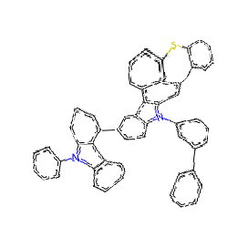 c1ccc(-c2cccc(-n3c4ccc(-c5cccc6c5c5ccccc5n6-c5ccccc5)cc4c4c5cccc6c5c(cc43)-c3ccccc3S6)c2)cc1